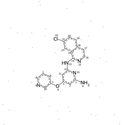 Nc1cc(Oc2cccnc2)cc(Nc2nccc3ccc(Cl)cc23)n1